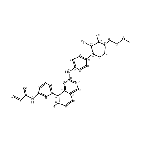 C=CC(=O)Nc1cccc(-c2c(C)ccc3cnc(Nc4ccc(N5CCN(CCOC)C(F)C5F)cc4)nc23)c1